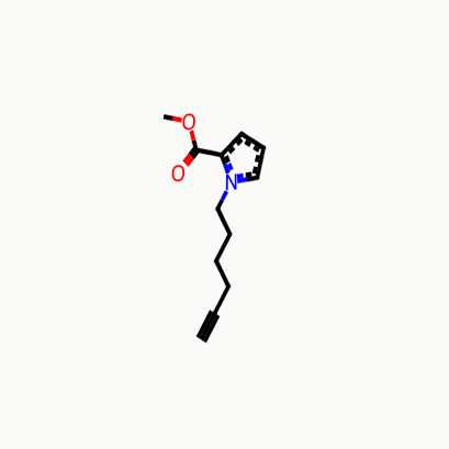 C#CCCCCn1cccc1C(=O)OC